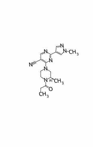 CCC(=O)N1CCN(c2nc(-c3cnn(C)c3)ncc2C#N)C[C@H]1C